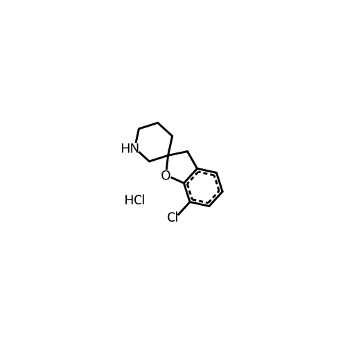 Cl.Clc1cccc2c1OC1(CCCNC1)C2